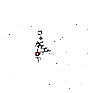 COc1cc(C(=O)Nc2cccc(S(=O)(=O)C(F)(F)F)c2)c(NC(=O)c2c(NC34CC(N5CCOCC5)(C3)C4)ncnc2OCC(F)F)cn1